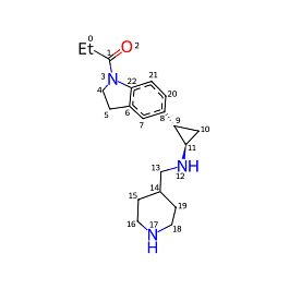 CCC(=O)N1CCc2cc([C@@H]3C[C@H]3NCC3CCNCC3)ccc21